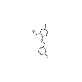 O=Cc1cc(F)ccc1OCc1cccc(Cl)c1